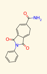 NC(=O)C1=CC=C2C(=O)N(c3ccccc3)C(=O)C2=CC1